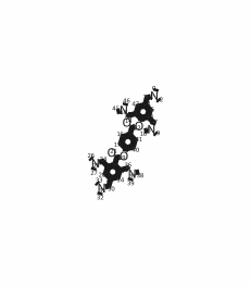 CN(C)Cc1cc(CN(C)C)c(OC(=O)c2ccc(OC(=O)c3c(CN(C)C)cc(CN(C)C)cc3CN(C)C)cc2)c(CN(C)C)c1